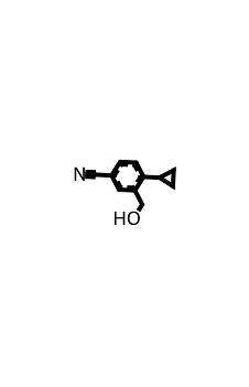 N#Cc1ccc(C2CC2)c(CO)c1